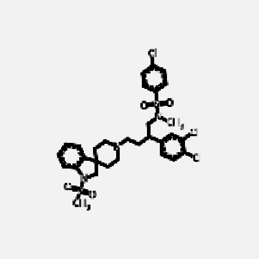 CN(CC(CCN1CCC2(CC1)CN(S(C)(=O)=O)c1ccccc12)c1ccc(Cl)c(Cl)c1)S(=O)(=O)c1ccc(Cl)cc1